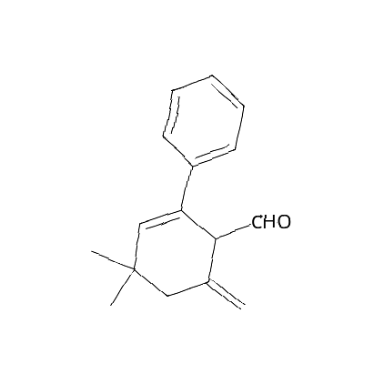 C=C1CC(C)(C)C=C(c2ccccc2)C1C=O